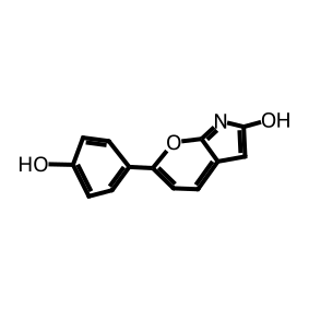 Oc1ccc(-c2ccc3cc(O)nc-3o2)cc1